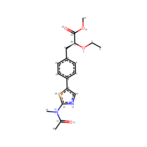 CCO[C@@H](Cc1ccc(-c2cnc(N(C)C(C)=O)s2)cc1)C(=O)OC